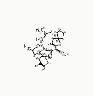 CC(C)C[C@H]1N=C(CC2=N[C@H](CC(C)C)C3(CCCC3)O2)OC12CCCC2.[Br-].[Br-].[Pd+2]